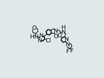 C[C@H](C(=O)N[C@H](C)c1cccc(N2CCC(F)(F)C2)n1)N1Cc2ccc(-c3nc(NC4CCOCC4)ncc3Cl)cc2C1=O